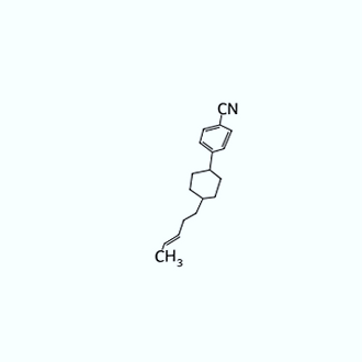 CC=CCCC1CCC(c2ccc(C#N)cc2)CC1